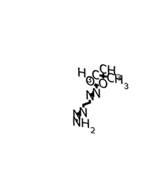 CC(C)(C)OC(=O)N=NCCN=NN